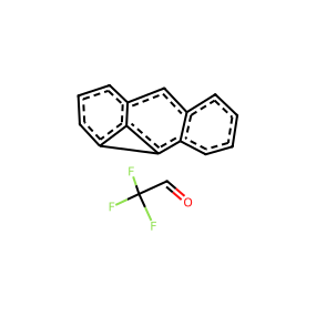 O=CC(F)(F)F.c1ccc2c3c4c-3cccc4cc2c1